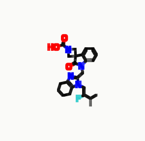 CC(C)/C(F)=C/n1c(CN2C(=O)C3(CN(C(=O)O)C3)c3ccccc32)nc2c1CCCC2